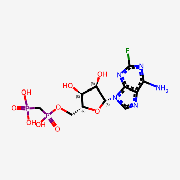 Nc1nc(F)nc2c1ncn2[C@@H]1O[C@H](COP(=O)(O)CP(=O)(O)O)[C@@H](O)[C@H]1O